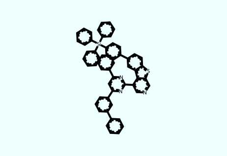 c1ccc(-c2cccc(-c3cc(-c4ccccc4)nc(-c4cncc5sc6ccc(-c7ccc([Si](c8ccccc8)(c8ccccc8)c8ccccc8)cc7)cc6c45)n3)c2)cc1